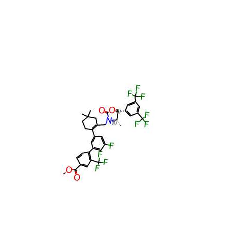 COC(=O)c1ccc(-c2cc(F)cc(C3=C(CN4C(=O)O[C@H](c5cc(C(F)(F)F)cc(C(F)(F)F)c5)[C@@H]4C)CC(C)(C)CC3)c2)c(C(F)(F)F)c1